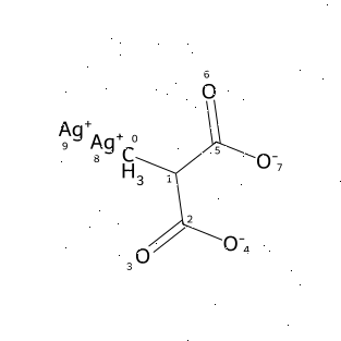 CC(C(=O)[O-])C(=O)[O-].[Ag+].[Ag+]